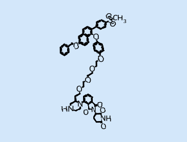 CS(=O)(=O)c1ccc(-c2ccc3cc(OCc4ccccc4)ccc3c2Oc2ccc(OCCOCCOCCOCCC3CNCCN3c3cccc4c3C(=O)N(C3CCC(=O)NC3=O)C4=O)cc2)cc1